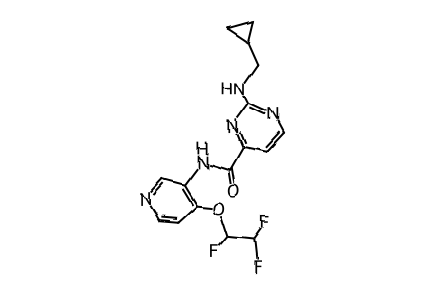 O=C(Nc1cnccc1OC(F)C(F)F)c1ccnc(NCC2CC2)n1